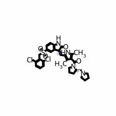 Cc1[nH]c(/C=C2\C(=O)Nc3ccc(S(=O)(=O)Cc4c(Cl)cccc4Cl)cc32)c(C)c1C(=O)N1CCC[C@H]1CN1CCCC1